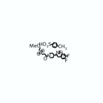 COCCS(=O)(=O)CCC(=O)N1CCC([C@H](N)Cc2cc(F)c(F)cc2F)CC1.Cc1ccc(S(=O)(=O)O)cc1